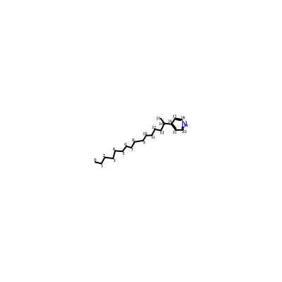 CCCCCCCCCCCCCCC(C)c1ccncc1